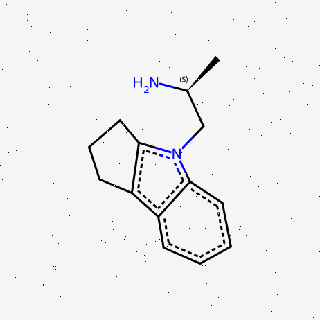 C[C@H](N)Cn1c2c(c3ccccc31)CCC2